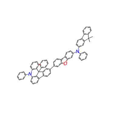 CC1(C)c2ccccc2-c2ccc(N(c3ccccc3)c3ccc4c(c3)oc3cc(-c5ccc6c(c5)C5(c7ccccc7)c7ccccc7N(c7ccccc7)c7cccc-6c75)ccc34)cc21